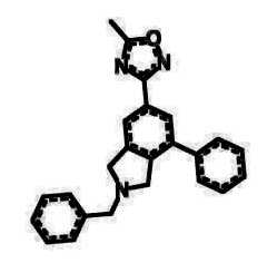 Cc1nc(-c2cc3c(c(-c4ccccc4)c2)CN(Cc2ccccc2)C3)no1